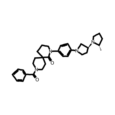 C[C@H]1CCCN1[C@H]1CCN(c2ccc(N3CCCC4(CCN(C(=O)c5ccccc5)CC4)C3=O)cc2)C1